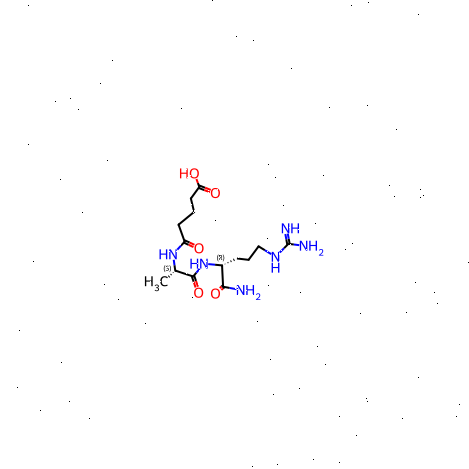 C[C@H](NC(=O)CCCC(=O)O)C(=O)N[C@H](CCCNC(=N)N)C(N)=O